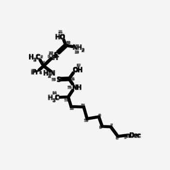 CC(C)C(C)(N)C(C)C.CCCCCCCCCCCCCCCCCC(C)NC(O)=S.NC(O)=S